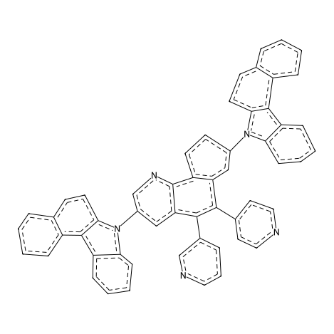 c1cncc(-c2c(-c3ccncc3)c3cc(-n4c5ccccc5c5c6ccccc6ccc54)ccc3c3ncc(-n4c5ccccc5c5c6ccccc6ccc54)cc23)c1